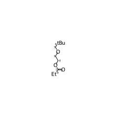 CCC(=O)OCCOCC(C)(C)C